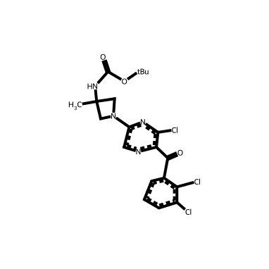 CC1(NC(=O)OC(C)(C)C)CN(c2cnc(C(=O)c3cccc(Cl)c3Cl)c(Cl)n2)C1